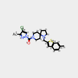 CC(=O)c1nn(C(=O)N2CCC3(CCCN3Cc3cc4ccc(C)cc4s3)CC2)cc1Cl